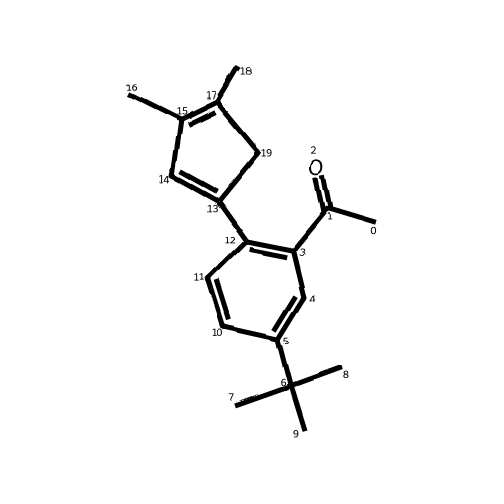 CC(=O)c1cc(C(C)(C)C)ccc1C1=CC(C)=C(C)C1